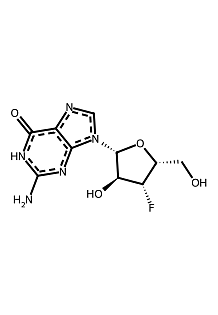 Nc1nc2c(ncn2[C@@H]2O[C@H](CO)[C@H](F)[C@H]2O)c(=O)[nH]1